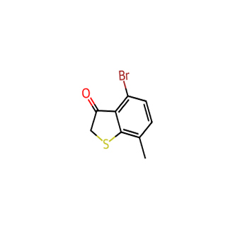 Cc1ccc(Br)c2c1SCC2=O